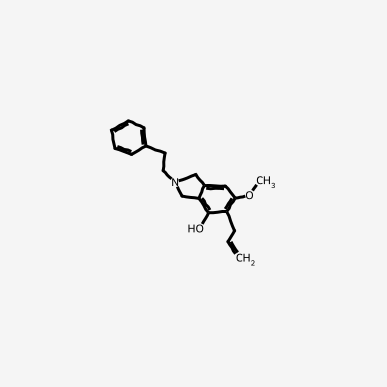 C=CCc1c(OC)cc2c(c1O)CN(CCc1ccccc1)C2